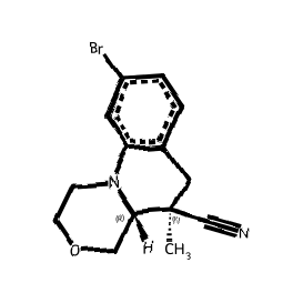 C[C@@]1(C#N)Cc2ccc(Br)cc2N2CCOC[C@H]21